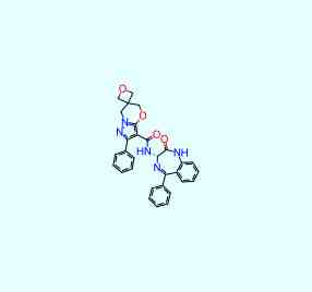 O=C(N[C@H]1N=C(c2ccccc2)c2ccccc2NC1=O)c1c(-c2ccccc2)nn2c1OCC1(COC1)C2